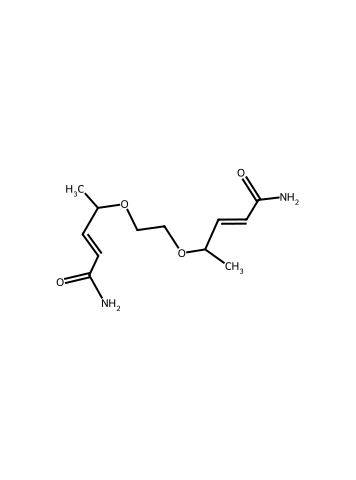 CC(C=CC(N)=O)OCCOC(C)C=CC(N)=O